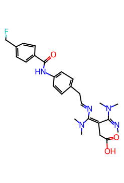 C\N=C(/C(CC(=O)O)=C(\N=C\Cc1ccc(NC(=O)c2ccc(CF)cc2)cc1)N(C)C)N(C)C